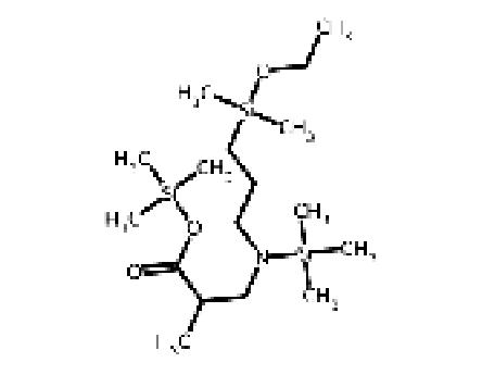 CCO[Si](C)(C)CCCN(CC(C)C(=O)O[Si](C)(C)C)[Si](C)(C)C